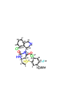 COc1cc([SH]2C=Cc3[nH]c(=O)n(-c4cncc5cccc(Cl)c45)c(=O)c32)c(Cl)cc1F